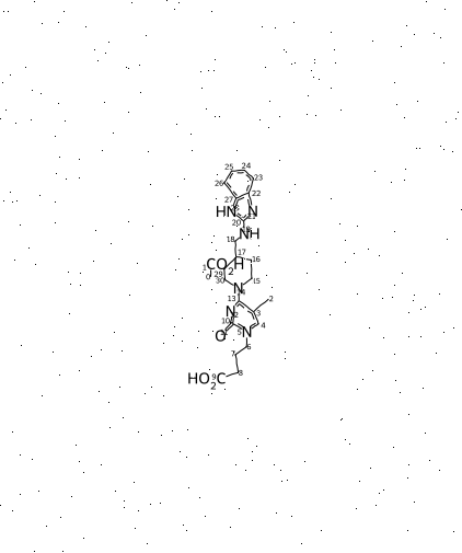 CC(=O)O.Cc1cn(CCCC(=O)O)c(=O)nc1N1CCC(CNc2nc3ccccc3[nH]2)CC1